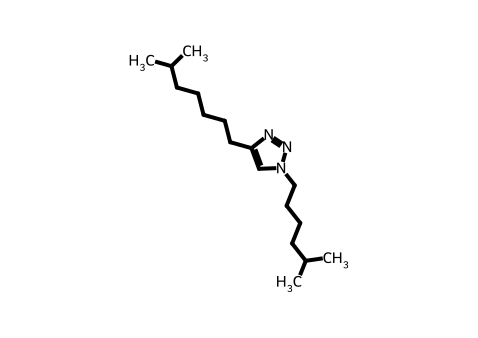 CC(C)CCCCCc1cn(CCCCC(C)C)nn1